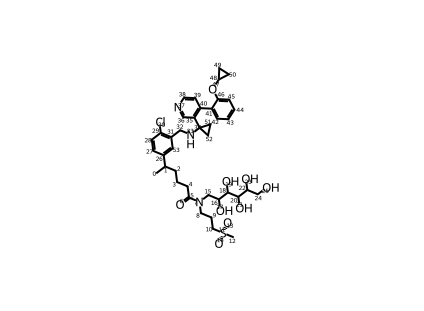 CC(CCCC(=O)N(CCCS(C)(=O)=O)CC(O)C(O)C(O)C(O)CO)c1ccc(Cl)c(CNC2(c3cnccc3-c3ccccc3OC3CC3)CC2)c1